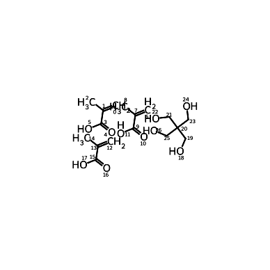 C=C(C)C(=O)O.C=C(C)C(=O)O.C=C(C)C(=O)O.OCC(CO)(CO)CO